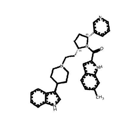 Cc1ccc2cc(C(=O)N3[C@H](CCN4CCC(c5c[nH]c6ccccc56)CC4)CC[C@@H]3c3cccnc3)[nH]c2c1